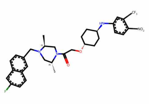 C[C@@H]1CN(Cc2ccc3cc(F)ccc3c2)[C@@H](C)CN1C(=O)CO[C@H]1CC[C@H](Nc2ccc([N+](=O)[O-])c(C(F)(F)F)c2)CC1